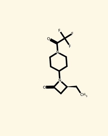 CC[C@H]1CC(=O)N1C1CCN(C(=O)C(F)(F)F)CC1